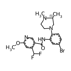 COc1cc(C(F)F)c(C(=O)Nc2cc(Br)ccc2N2CCN(C)[C@@H](C)C2)cn1